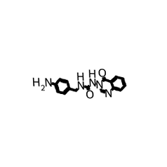 Nc1ccc(CNC(=O)Nn2cnc3ccccc3c2=O)cc1